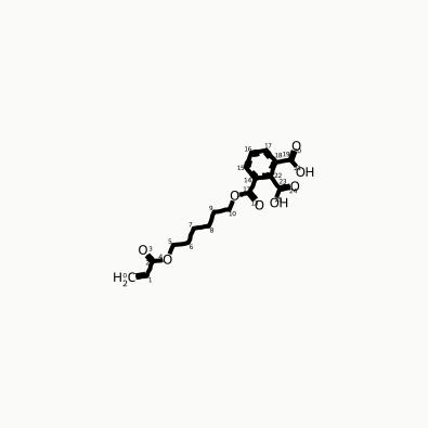 C=CC(=O)OCCCCCCOC(=O)c1cccc(C(=O)O)c1C(=O)O